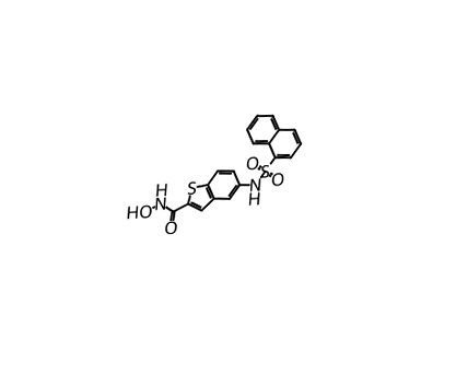 O=C(NO)c1cc2cc(NS(=O)(=O)c3cccc4ccccc34)ccc2s1